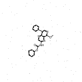 COc1ncc(-c2ccccc2)c2ncc(NC(=O)Oc3ccccc3)nc12